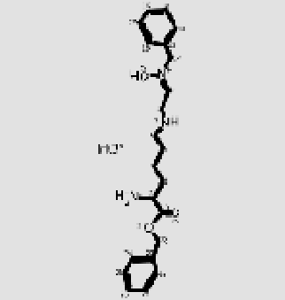 Cl.NC(CCCCNCC=[N+](O)Cc1ccccc1)C(=O)OCc1ccccc1